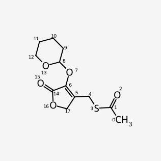 CC(=O)SCC1=C(OC2CCCCO2)C(=O)OC1